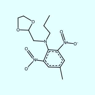 CCCN(CC1OCCO1)c1c([N+](=O)[O-])cc(C)cc1[N+](=O)[O-]